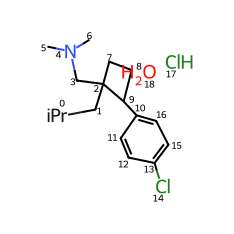 CC(C)CC1(CN(C)C)CCC1c1ccc(Cl)cc1.Cl.O